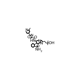 Cc1cc(-c2nc(C(=O)Nc3cn4cc(CCC(C)(C)O)nc4cc3-c3ccccc3C(N)=O)co2)ccn1